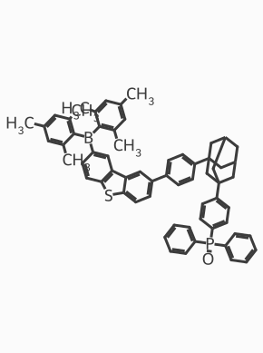 Cc1cc(C)c(B(c2ccc3sc4ccc(-c5ccc(C67CC8CC(C6)CC(c6ccc(P(=O)(c9ccccc9)c9ccccc9)cc6)(C8)C7)cc5)cc4c3c2)c2c(C)cc(C)cc2C)c(C)c1